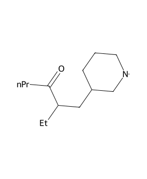 CCCC(=O)C(CC)CC1CCC[N]C1